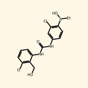 CCN(O)c1ccc(NC(=O)Nc2cccc(Cl)c2CO)cc1Cl